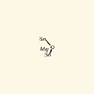 [Mg].[Sn][O][Sn]